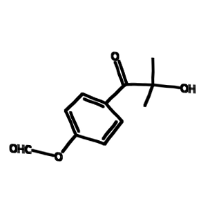 CC(C)(O)C(=O)c1ccc(OC=O)cc1